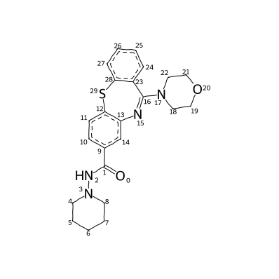 O=C(NN1CCCCC1)c1ccc2c(c1)N=C(N1CCOCC1)c1ccccc1S2